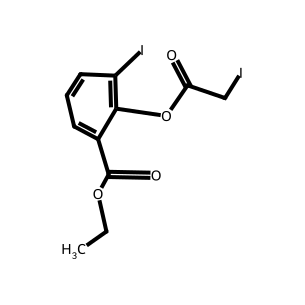 CCOC(=O)c1cccc(I)c1OC(=O)CI